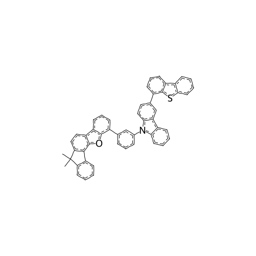 CC1(C)c2ccccc2-c2c1ccc1c2oc2c(-c3cccc(-n4c5ccccc5c5cc(-c6cccc7c6sc6ccccc67)ccc54)c3)cccc21